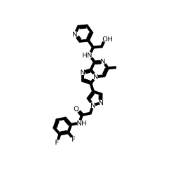 Cc1cn2c(-c3cnn(CC(=O)Nc4cccc(F)c4F)c3)cnc2c(NC(CO)c2cccnc2)n1